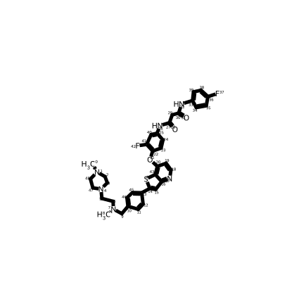 CN1CCN(CCN(C)Cc2ccc(-c3cc4nccc(Oc5ccc(NC(=O)CC(=O)Nc6ccc(F)cc6)cc5F)c4s3)cc2)CC1